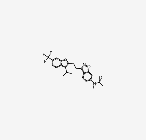 CC(=O)N(C)c1ccc2c(CCc3sc4cc(C(F)(F)F)ccc4c3C(C)C)noc2c1